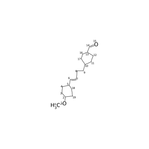 COC1CCC(/C=C/CCC2CCC(C=O)CC2)CC1